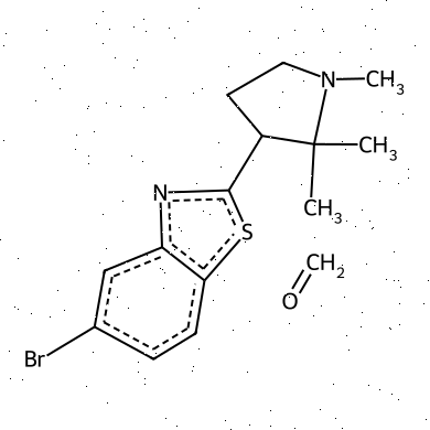 C=O.CN1CCC(c2nc3cc(Br)ccc3s2)C1(C)C